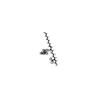 CCCCCCCCC=CCCCCCCC(CCC)C(=O)[O-].O=S(=O)(O)O.[Na+]